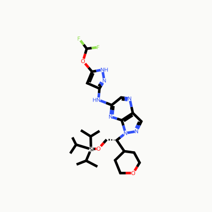 CC(C)[Si](OC[C@@H](C1CCOCC1)n1ncc2ncc(Nc3cc(OC(F)F)[nH]n3)nc21)(C(C)C)C(C)C